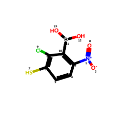 O=[N+]([O-])c1ccc(S)c(Cl)c1B(O)O